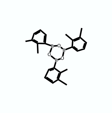 Cc1cccc(B2OB(c3cccc(C)c3C)OB(c3cccc(C)c3C)O2)c1C